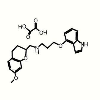 COc1ccc2c(c1)OC(CNCCCOc1cccc3[nH]ccc13)CC2.O=C(O)C(=O)O